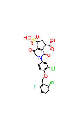 O=C1CN(c2ccc(OCc3c(F)cccc3Cl)c(Cl)c2)C(=O)C2=C1C(S(=O)(=O)O)CC2C(=O)O